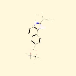 CN[C@H](C)c1nc2ccc3cc(B4OC(C)(C)C(C)(C)O4)ccc3c2[nH]1